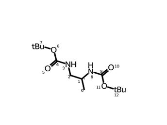 C[C](CNC(=O)OC(C)(C)C)NC(=O)OC(C)(C)C